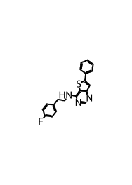 Fc1ccc(CCNc2ncnc3cc(-c4ccccc4)sc23)cc1